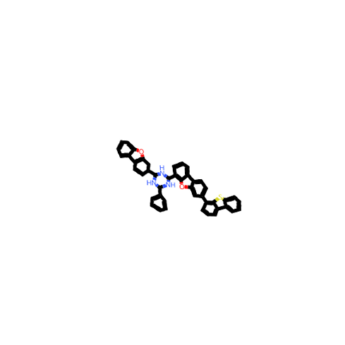 C1=CC(C2NC(c3ccccc3)NC(c3cccc4c3oc3cc(-c5cccc6c5sc5ccccc56)ccc34)N2)Cc2oc3ccccc3c21